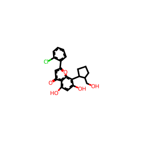 O=c1cc(-c2ccccc2Cl)oc2c(C3CCCC3CO)c(O)cc(O)c12